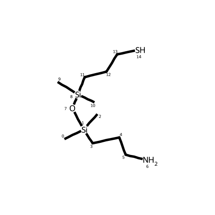 C[Si](C)(CCCN)O[Si](C)(C)CCCS